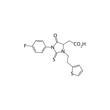 O=C(O)CC1C(=O)N(c2ccc(F)cc2)C(=S)N1CCc1cccs1